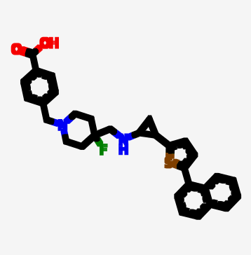 O=C(O)c1ccc(CN2CCC(F)(CNC3CC3c3ccc(-c4cccc5ccccc45)s3)CC2)cc1